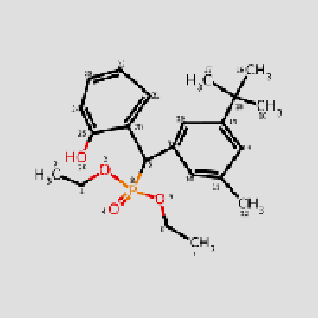 CCOP(=O)(OCC)C(c1cc(C)cc(C(C)(C)C)c1)c1ccccc1O